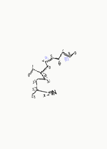 C=CC(C/C=C\C/C=C/C)CCC(C)C#N